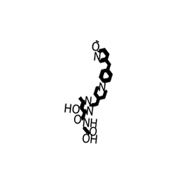 COc1ccc(Cc2ccc(N3CCC(Cc4nc(C)c(O)c(C(=O)NCC(=O)O)n4)CC3)cc2)cn1